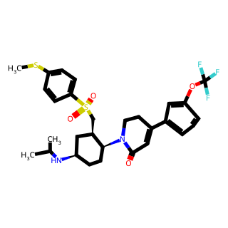 CSc1ccc(S(=O)(=O)C[C@@H]2C[C@H](NC(C)C)CC[C@@H]2N2CCC(c3cccc(OC(F)(F)F)c3)=CC2=O)cc1